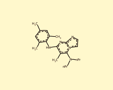 CCCN(CCC)c1c(C)c(Nc2c(C)cc(C)cc2C)nc2nccn12